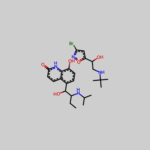 CC(C)(C)NCC(O)c1cc(Br)no1.CCC(NC(C)C)C(O)c1ccc(O)c2[nH]c(=O)ccc12